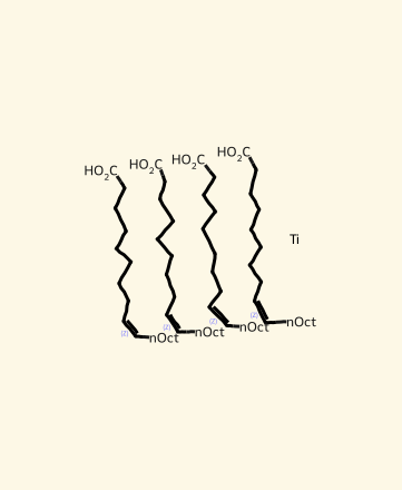 CCCCCCCC/C=C\CCCCCCCC(=O)O.CCCCCCCC/C=C\CCCCCCCC(=O)O.CCCCCCCC/C=C\CCCCCCCC(=O)O.CCCCCCCC/C=C\CCCCCCCC(=O)O.[Ti]